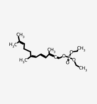 CCOP(=O)(OC=C=C(C)C=CC=C(C)CCC=C(C)C)OCC